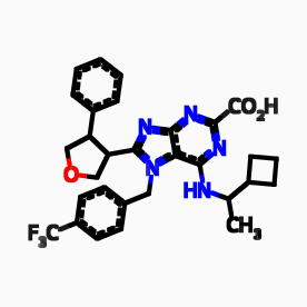 CC(Nc1nc(C(=O)O)nc2nc(C3COCC3c3ccccc3)n(Cc3ccc(C(F)(F)F)cc3)c12)C1CCC1